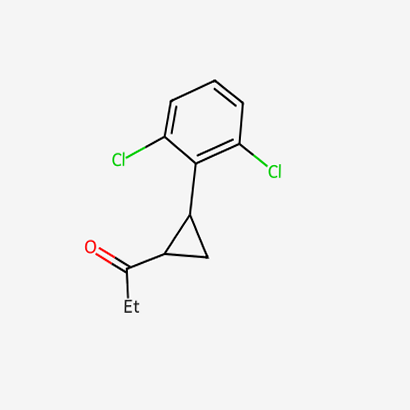 CCC(=O)C1CC1c1c(Cl)cccc1Cl